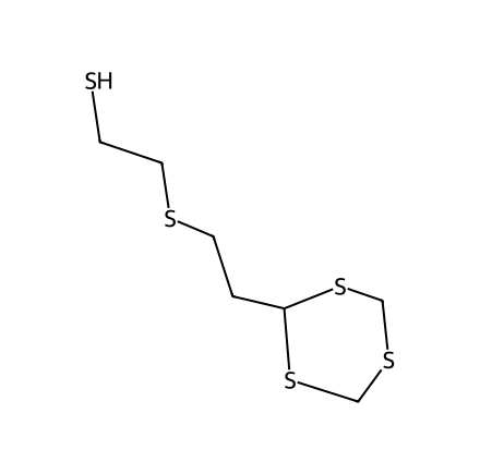 SCCSCCC1SCSCS1